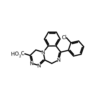 O=C(O)C1=NN=C2CN=C(c3ccccc3Cl)c3ccccc3N2C1